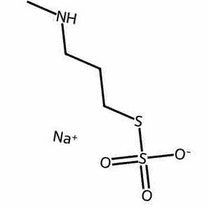 CNCCCSS(=O)(=O)[O-].[Na+]